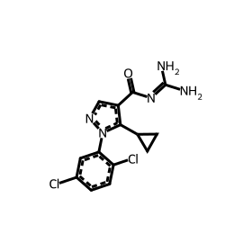 NC(N)=NC(=O)c1cnn(-c2cc(Cl)ccc2Cl)c1C1CC1